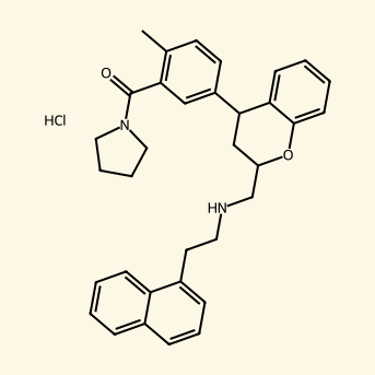 Cc1ccc(C2CC(CNCCc3cccc4ccccc34)Oc3ccccc32)cc1C(=O)N1CCCC1.Cl